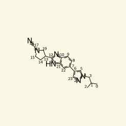 CC(C)Cn1cc(-c2ccc3nc(C4CCN(C#N)C4)[nH]c3c2)cn1